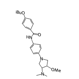 COC1CN(c2ccc(NC(=O)c3ccc(OCC(C)C)cc3)cc2)CC1N(C)C